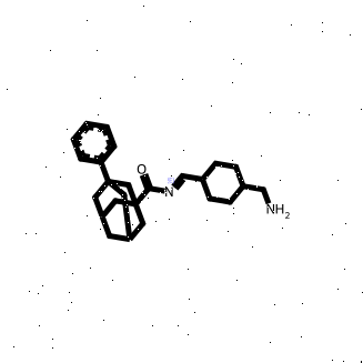 NCC1CCC(/C=N/C(=O)C23CC4CC(C2)CC(c2ccccc2)(C4)C3)CC1